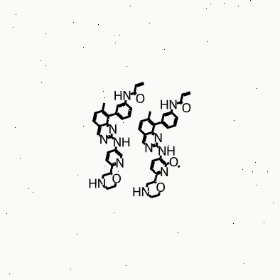 C=CC(=O)Nc1cccc(-c2c(C)ccc3cnc(Nc4ccc(C5CNCCO5)nc4)nc23)c1.C=CC(=O)Nc1cccc(-c2c(C)ccc3cnc(Nc4ccc(C5CNCCO5)nc4OC)nc23)c1